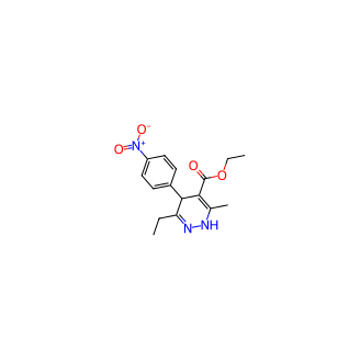 CCOC(=O)C1=C(C)NN=C(CC)C1c1ccc([N+](=O)[O-])cc1